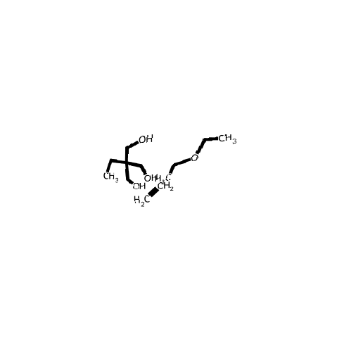 C=C.CCC(CO)(CO)CO.CCOCC